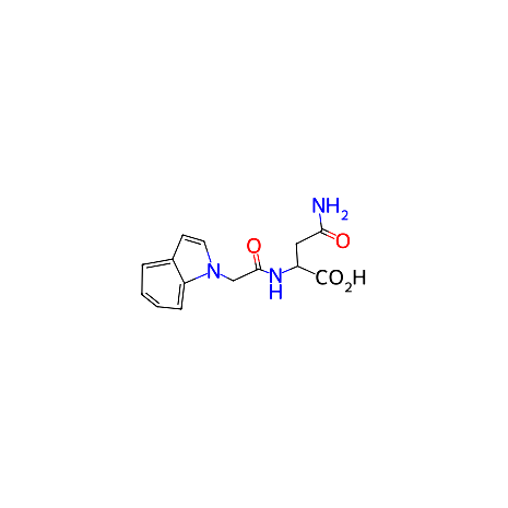 NC(=O)CC(NC(=O)Cn1ccc2ccccc21)C(=O)O